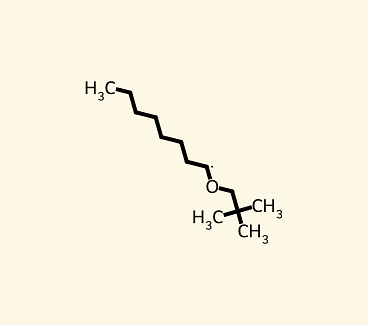 CCCCCCC[CH]OCC(C)(C)C